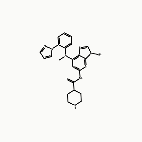 CC(C)n1cnc2c(N(C)c3ccccc3-n3cccn3)nc(NC(=O)C3CCNCC3)nc21